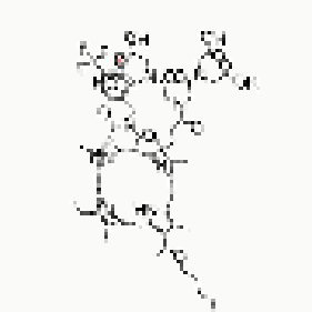 CCCCCCOC(C)c1c(C)c2cc3nc(c4c5[nH]c(cc6nc(cc1[nH]2)C(C)=C6CC)c(C)c5C(=O)N(Cc1ccc(C(F)(F)F)cc1C)C4=O)C(C)(CCC(=O)N(CC(=O)N(CC(=O)O)CC(=O)O)CC(=O)N(CC(=O)O)CC(=O)O)C3C